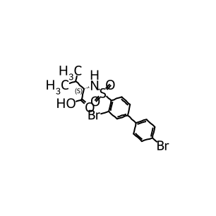 CC(C)[C@H](NS(=O)(=O)c1ccc(-c2ccc(Br)cc2)cc1Br)C(=O)O